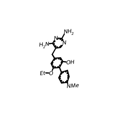 CCOc1cc(Cc2cnc(N)nc2N)cc(O)c1-c1ccc(NC)cc1